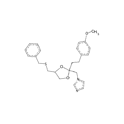 COc1ccc(CCC2(Cn3ccnc3)OCC(CSCc3ccccc3)O2)cc1